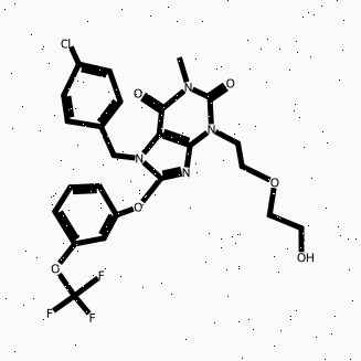 Cn1c(=O)c2c(nc(Oc3cccc(OC(F)(F)F)c3)n2Cc2ccc(Cl)cc2)n(CCOCCO)c1=O